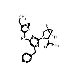 CCc1cc(Nc2cc(Cc3ccccc3)nc(N3C[C@H]4C[C@H]4[C@H]3C(N)=O)n2)n[nH]1